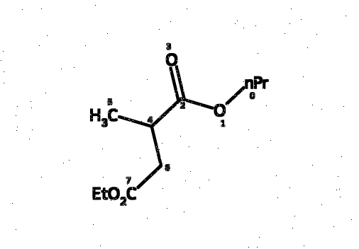 CCCOC(=O)C(C)CC(=O)OCC